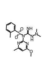 COc1cc(C)nc(N(C(=N)NN(C)C)S(=O)(=O)c2ccccc2C)n1